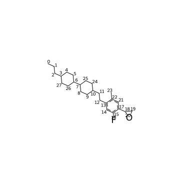 CCCC1CCC(C2CCC(CCc3cc(F)c(C4CO4)cc3C)CC2)CC1